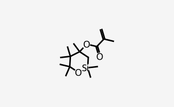 C=C(C)C(=O)OC1(C)C[Si](C)(C)OC(C)(C)C1(C)C